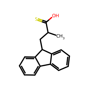 CC(CC1c2ccccc2-c2ccccc21)C(O)=S